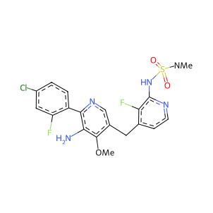 CNS(=O)(=O)Nc1nccc(Cc2cnc(-c3ccc(Cl)cc3F)c(N)c2OC)c1F